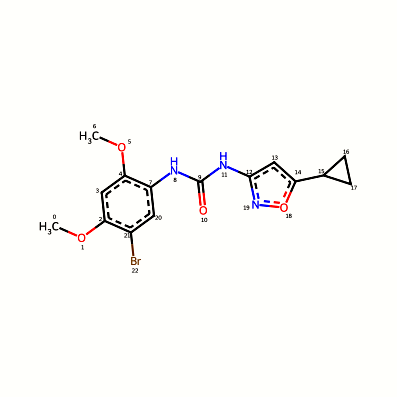 COc1cc(OC)c(NC(=O)Nc2cc(C3CC3)on2)cc1Br